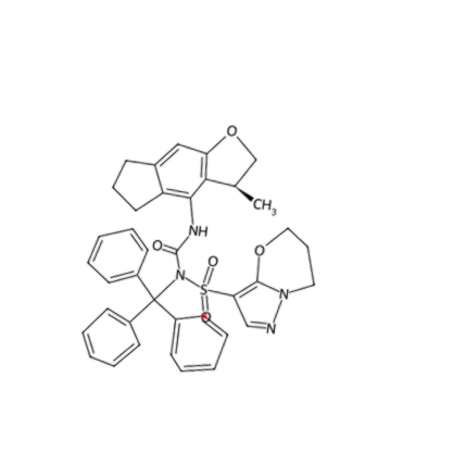 C[C@@H]1COc2cc3c(c(NC(=O)N(C(c4ccccc4)(c4ccccc4)c4ccccc4)S(=O)(=O)c4cnn5c4OCCC5)c21)CCC3